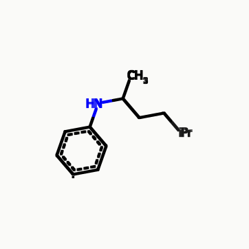 CC(C)CCC(C)Nc1cc[c]cc1